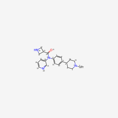 CCCN1CCC(c2ccc(N(C(=O)C3CNC3)c3cccnc3)cc2)CC1